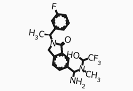 C[C@@H](c1cccc(F)c1)N1Cc2ccc(C(N)N(C)C(O)C(F)(F)F)cc2C1=O